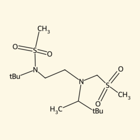 CC(N(CCN(C(C)(C)C)S(C)(=O)=O)CS(C)(=O)=O)C(C)(C)C